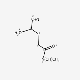 CC(C=O)CCC(=O)N(C)O